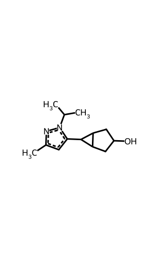 Cc1cc(C2C3CC(O)CC32)n(C(C)C)n1